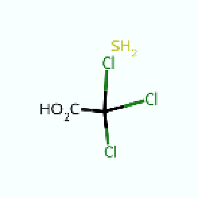 O=C(O)C(Cl)(Cl)Cl.S